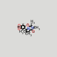 C[C@H]1C(=O)N2C(CC(C)(C)[C@@H]2c2ccc3c(c2)OCO3)C(=O)N1C